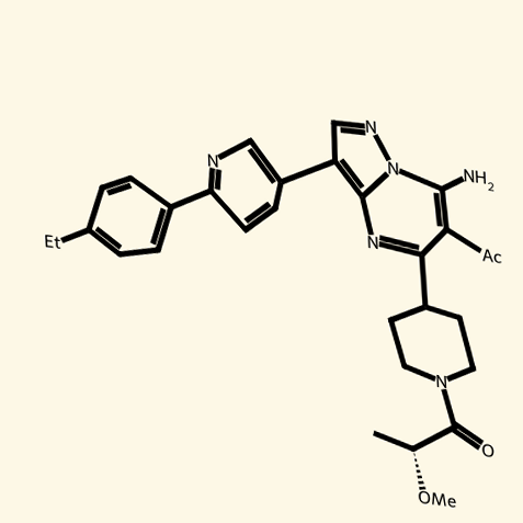 CCc1ccc(-c2ccc(-c3cnn4c(N)c(C(C)=O)c(C5CCN(C(=O)[C@@H](C)OC)CC5)nc34)cn2)cc1